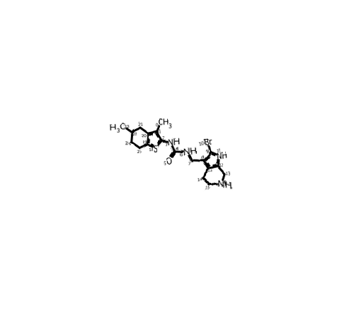 Cc1c(NC(=O)NCc2c(Br)[nH]c3c2CCNC3)sc2c1CC(C)CC2